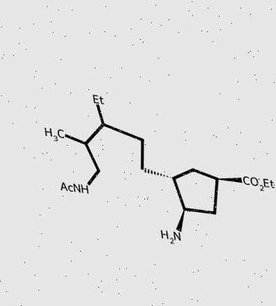 CCOC(=O)[C@@H]1C[C@@H](CCC(CC)C(C)CNC(C)=O)[C@H](N)C1